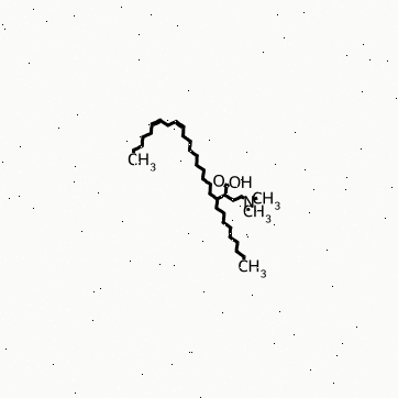 CCCCC/C=C\C/C=C\CCCCCCCCCC(CCCCCCCCC)C(CCN(C)C)C(=O)O